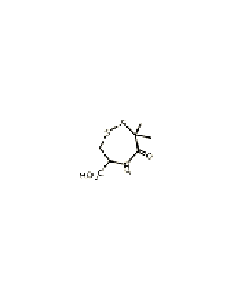 CC1(C)SSCC(C(=O)O)NC1=O